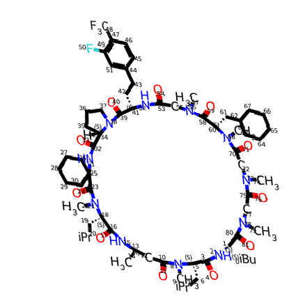 CC[C@H](C)[C@@H]1NC(=O)[C@H](CC(C)C)N(C)C(=O)C[C@@H](C)NC(=O)[C@H](CC(C)C)N(C)C(=O)C2(CCCCC2)NC(=O)[C@@H]2CCCN2C(=O)[C@H](CCc2ccc(C(F)(F)F)c(F)c2)NC(=O)CN(C)C(=O)[C@H](CC2CCCCC2)N(C)C(=O)CN(C)C(=O)CN(C)C1=O